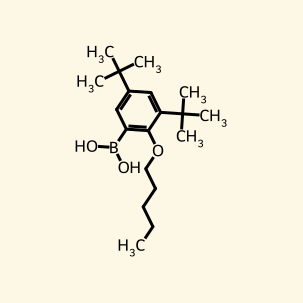 CCCCCOc1c(B(O)O)cc(C(C)(C)C)cc1C(C)(C)C